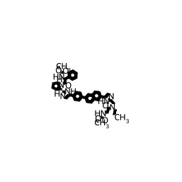 CCCN(Cc1ncc(-c2ccc3cc(-c4ccc(-c5cnc([C@@H]6[C@H]7CC[C@H](C7)N6C(=O)[C@H](NC(=O)OC)c6ccccc6)[nH]5)cc4)ccc3c2)[nH]1)C(=O)CNC(=O)OC